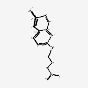 CN(C)CCCOc1ccc2cc(Br)ccc2n1